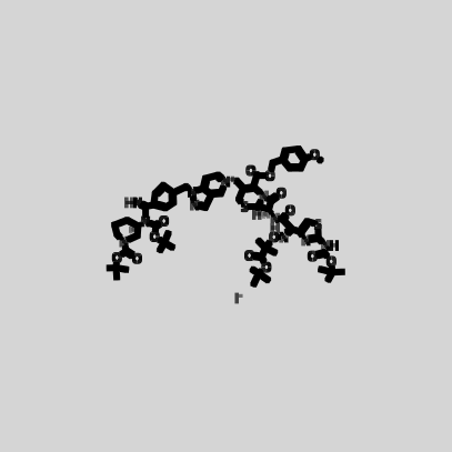 COc1ccc(COC(=O)C2=C(C[n+]3ccc4c(cnn4Cc4ccc(C(=N)N(C(=O)OC(C)(C)C)[C@@H]5CCCN(C(=O)OC(C)(C)C)C5)cc4)c3)CS[C@@H]3[C@H](NC(=O)C(=NOC(C)(C)C(=O)OC(C)(C)C)c4csc(NC(=O)OC(C)(C)C)n4)C(=O)N23)cc1.[I-]